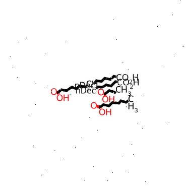 CCCC(=O)O.CCCCCCCC(=O)O.CCCCCCCC(=O)O.CCCCCCCCCCCCCCCC(=O)O.CCCCCCCCCCCCCCCC(=O)O